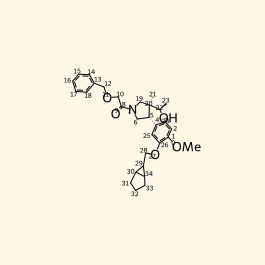 COc1ccc([C@@H]2CN(C(=O)COCc3ccccc3)C[C@@]2(C)[C@@H](C)O)cc1OCC1C2CCCC21